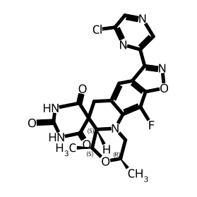 C[C@@H]1CN2c3c(cc4c(-c5cncc(Cl)n5)noc4c3F)CC3(C(=O)NC(=O)NC3=O)[C@H]2[C@H](C)O1